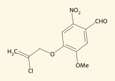 C=C(Cl)COc1cc([N+](=O)[O-])c(C=O)cc1OC